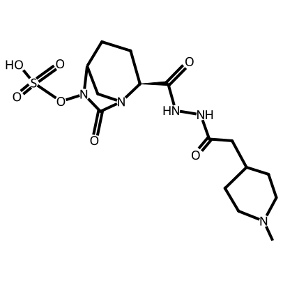 CN1CCC(CC(=O)NNC(=O)[C@@H]2CCC3CN2C(=O)N3OS(=O)(=O)O)CC1